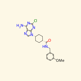 COc1cccc(CNC(=O)[C@H]2CC[C@@H](n3cnc4c(N)nc(Cl)nc43)CC2)c1